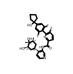 C[C@H]1C[C@@H](c2ccncc2NC(=O)c2ccc(F)c(-c3c(F)cc(C4(O)CCCC4)cc3F)n2)C[C@@H](O)[C@]1(C)O